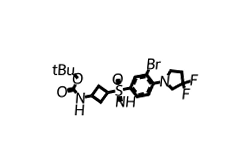 CC(C)(C)OC(=O)NC1CC(S(=N)(=O)c2ccc(N3CCC(F)(F)C3)c(Br)c2)C1